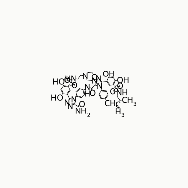 Cc1ccc(-n2c(C(=O)Nc3ccc(-n4c(C(N)=O)nnc4-c4cc(S(=O)(=O)NCCN5CCOCC5)c(O)cc4O)cc3)nnc2-c2cc(S(=O)(=O)NCC(C)C)c(O)cc2O)cc1